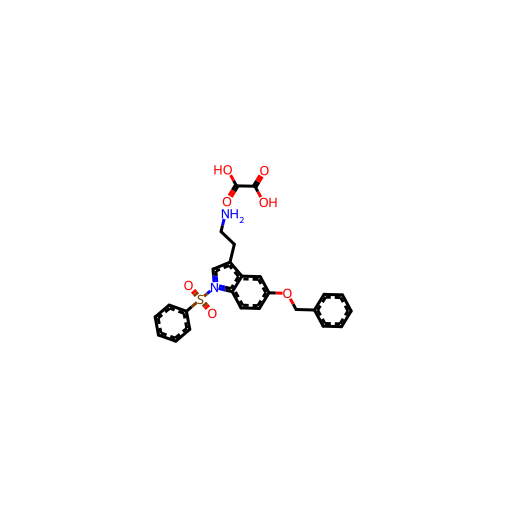 NCCc1cn(S(=O)(=O)c2ccccc2)c2ccc(OCc3ccccc3)cc12.O=C(O)C(=O)O